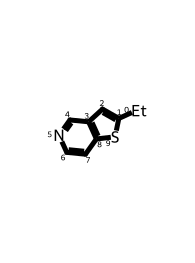 CCc1cc2cnccc2s1